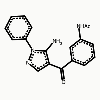 CC(=O)Nc1cccc(C(=O)c2cnn(-c3ccccc3)c2N)c1